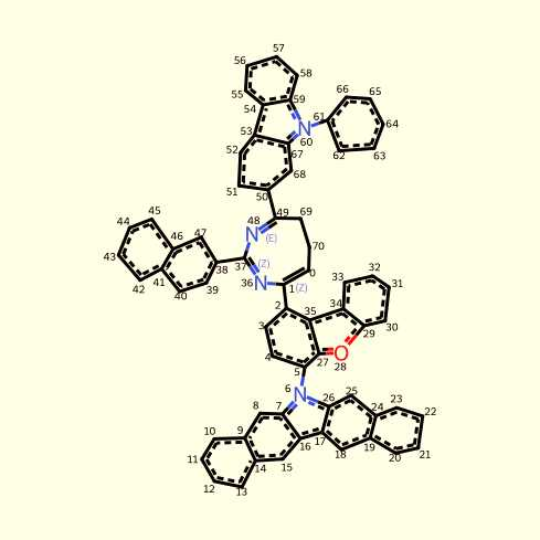 C1=C(c2ccc(-n3c4cc5ccccc5cc4c4cc5ccccc5cc43)c3oc4ccccc4c23)/N=C(c2ccc3ccccc3c2)\N=C(\c2ccc3c4ccccc4n(-c4ccccc4)c3c2)CC\1